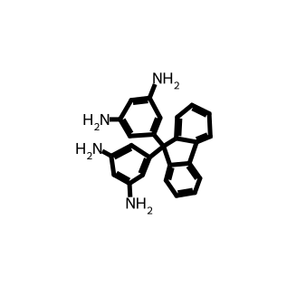 Nc1cc(N)cc(C2(c3cc(N)cc(N)c3)c3ccccc3-c3ccccc32)c1